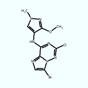 COc1nn(C)cc1Nc1nc(Cl)nn2c(Br)cnc12